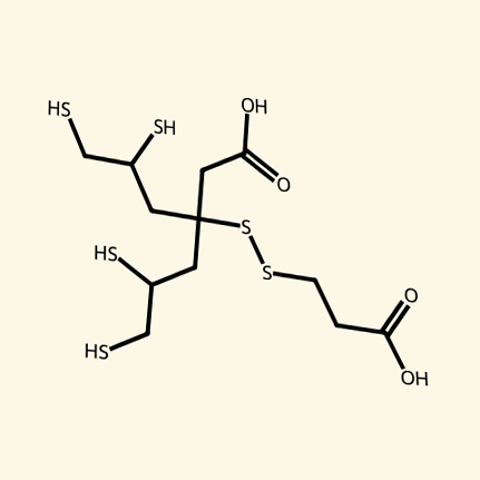 O=C(O)CCSSC(CC(=O)O)(CC(S)CS)CC(S)CS